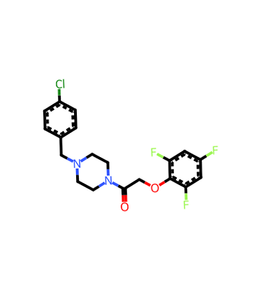 O=C(COc1c(F)cc(F)cc1F)N1CCN(Cc2ccc(Cl)cc2)CC1